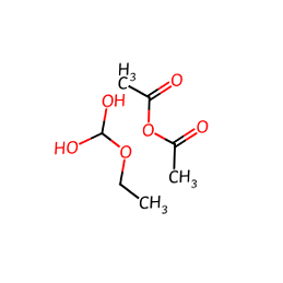 CC(=O)OC(C)=O.CCOC(O)O